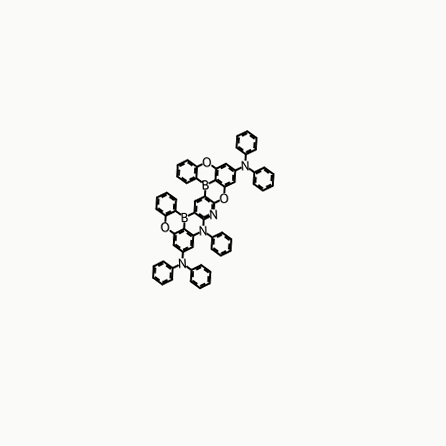 c1ccc(N(c2ccccc2)c2cc3c4c(c2)Oc2nc5c(cc2B4c2ccccc2O3)B2c3ccccc3Oc3cc(N(c4ccccc4)c4ccccc4)cc(c32)N5c2ccccc2)cc1